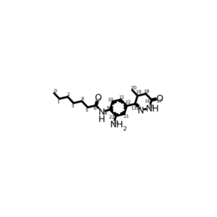 CCCCCCC(=O)Nc1ccc(C2=NNC(=O)CC2C)cc1N